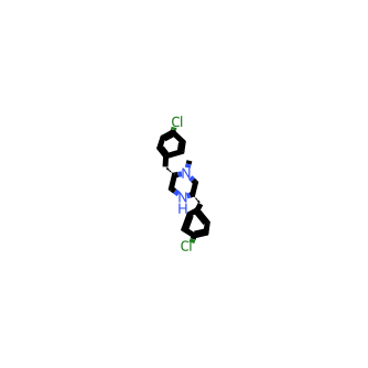 CN1C[C@H](Cc2ccc(Cl)cc2)NC[C@@H]1Cc1ccc(Cl)cc1